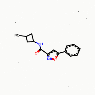 N#CC1CC(NC(=O)c2cc(-c3ccccc3)on2)C1